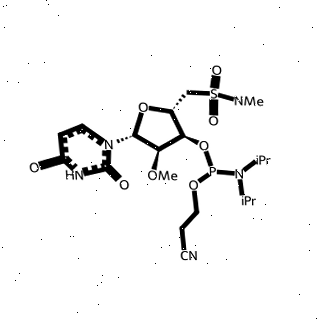 CNS(=O)(=O)C[C@H]1O[C@@H](n2ccc(=O)[nH]c2=O)[C@H](OC)[C@@H]1OP(OCCC#N)N(C(C)C)C(C)C